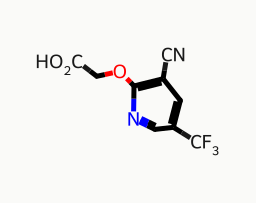 N#Cc1cc(C(F)(F)F)cnc1OCC(=O)O